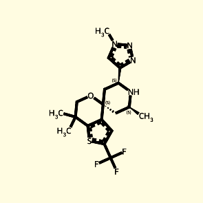 C[C@H]1C[C@@]2(C[C@@H](c3cn(C)nn3)N1)OCC(C)(C)c1sc(C(F)(F)F)cc12